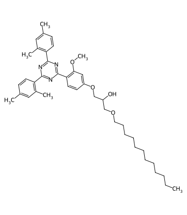 CCCCCCCCCCCCOCC(O)COc1ccc(-c2nc(-c3ccc(C)cc3C)nc(-c3ccc(C)cc3C)n2)c(OC)c1